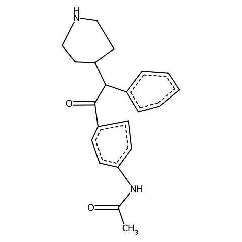 CC(=O)Nc1ccc(C(=O)C(c2ccccc2)C2CCNCC2)cc1